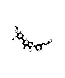 CCOc1ncc(-c2cc(C)c3c(n2)CN(c2cncc(CCC#N)c2)C3=O)cc1OC